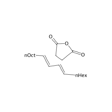 CCCCCC/C=C/C=C/CCCCCCCC.O=C1CCC(=O)O1